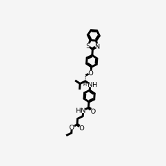 CCOC(=O)CCNC(=O)c1ccc(N[C@@H](COc2ccc(-c3nc4ccccc4s3)cc2)C(C)C)cc1